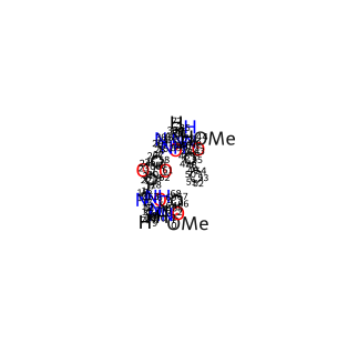 COC(=O)N[C@@H](C(=O)N1[C@@H]2C[C@@H]2C[C@H]1c1ncc(-c2cc3c4c(c2)OCc2cc(-c5cnc([C@@H]6C[C@H]7C[C@H]7N6C(=O)[C@H](NC(=O)OC)c6ccc(C7CCCCC7)cc6)[nH]5)cc(c2-4)OC3)[nH]1)c1ccccc1